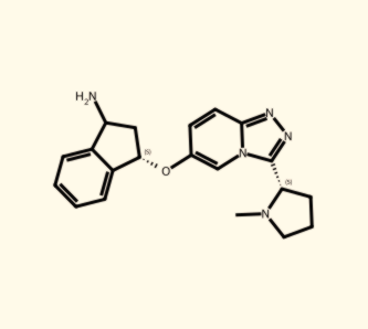 CN1CCC[C@H]1c1nnc2ccc(O[C@H]3CC(N)c4ccccc43)cn12